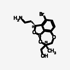 C[C@]1(CO)COc2ccc(Br)c3c2B(O[C@@H]3CCN)O1